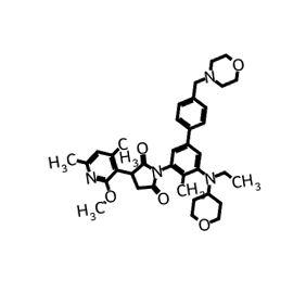 CCN(c1cc(-c2ccc(CN3CCOCC3)cc2)cc(N2C(=O)CC(c3c(C)cc(C)nc3OC)C2=O)c1C)C1CCOCC1